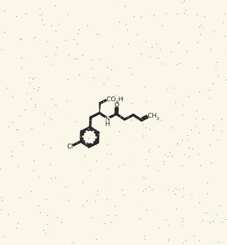 C=CCCC(=O)N[C@H](CC(=O)O)Cc1cccc(Cl)c1